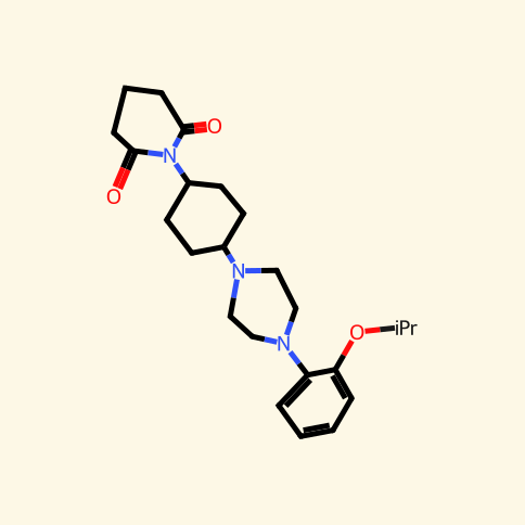 CC(C)Oc1ccccc1N1CCN(C2CCC(N3C(=O)CCCC3=O)CC2)CC1